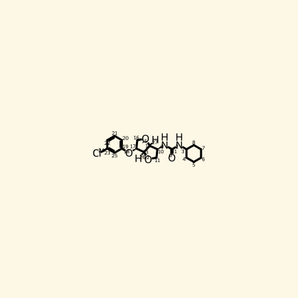 O=C(NC1CCCCC1)N[C@H]1CO[C@H]2[C@@H]1OC[C@@H]2Oc1cccc(Cl)c1